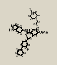 COc1cc2nc(-c3ccc(-c4ccccc4)c(F)c3)nc(Nc3ccc4[nH]ncc4c3)c2cc1OCCN1CCN(C)CC1